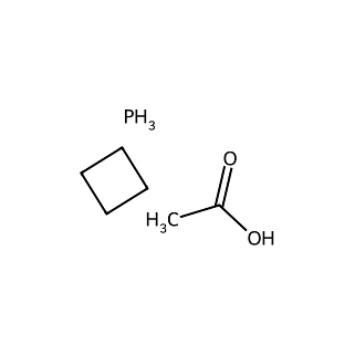 C1CCC1.CC(=O)O.P